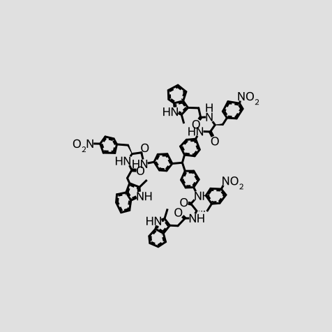 Cc1[nH]c2ccccc2c1CC(=O)N[C@@H](Cc1ccc([N+](=O)[O-])cc1)C(=O)Nc1ccc(C(c2ccc(NC(=O)[C@H](Cc3ccc([N+](=O)[O-])cc3)NC(=O)Cc3c(C)[nH]c4ccccc34)cc2)c2ccc(NC(=O)[C@H](Cc3ccc([N+](=O)[O-])cc3)NC(=O)Cc3c(C)[nH]c4ccccc34)cc2)cc1